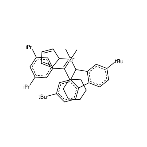 CC(C)c1cc([C](C2CCCCC2)=[Zr]([CH3])([CH3])([CH]2C=CC=C2)[CH]2c3cc(C(C)(C)C)ccc3-c3ccc(C(C)(C)C)cc32)cc(C(C)C)c1